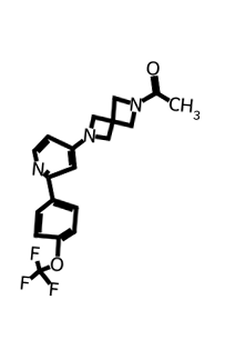 CC(=O)N1CC2(C1)CN(c1ccnc(-c3ccc(OC(F)(F)F)cc3)c1)C2